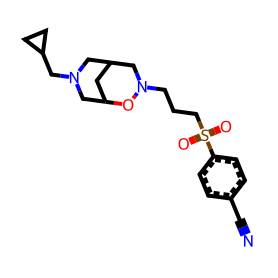 N#Cc1ccc(S(=O)(=O)CCCN2CC3CC(CN(CC4CC4)C3)O2)cc1